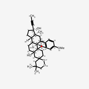 CC#C[C@]1(O)CC[C@H]2[C@@H]3CC[C@@]4(O)CC5(CC[C@@]46Sc4cc(OC)ccc4[C@@H](C[C@@]21C)[C@@H]36)CC(C)(C)COO5